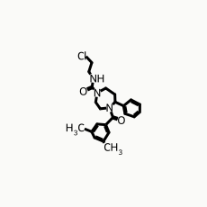 Cc1cc(C)cc(C(=O)N2CCN(C(=O)NCCCl)CCC2c2ccccc2)c1